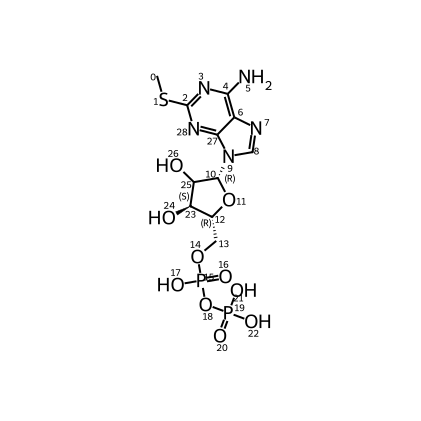 CSc1nc(N)c2ncn([C@@H]3O[C@H](COP(=O)(O)OP(=O)(O)O)[C@@H](O)C3O)c2n1